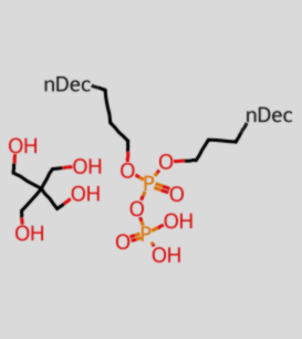 CCCCCCCCCCCCCOP(=O)(OCCCCCCCCCCCCC)OP(=O)(O)O.OCC(CO)(CO)CO